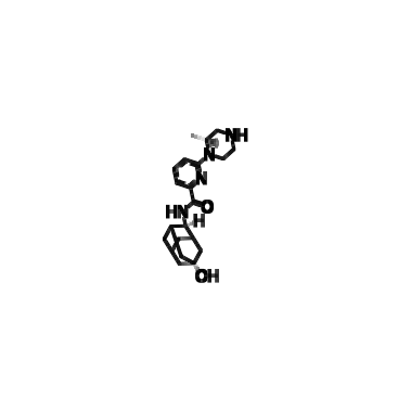 C[C@@H]1CNCCN1c1cccc(C(=O)N[C@H]2C3CC4CC2C[C@](O)(C4)C3)n1